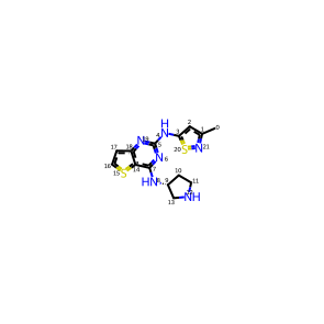 Cc1cc(Nc2nc(N[C@@H]3CCNC3)c3sccc3n2)sn1